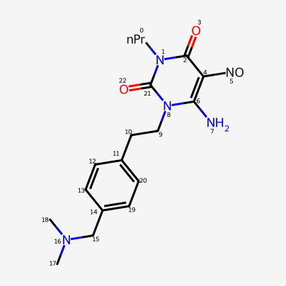 CCCn1c(=O)c(N=O)c(N)n(CCc2ccc(CN(C)C)cc2)c1=O